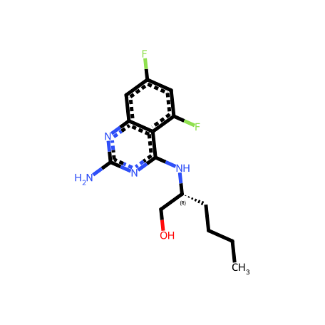 CCCC[C@H](CO)Nc1nc(N)nc2cc(F)cc(F)c12